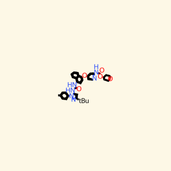 Cc1ccc(-n2nc(C(C)(C)C)cc2NC(=O)Nc2ccc(Oc3ccnc(NC(=O)OC4CCOCC4)c3)c3ccccc23)cc1